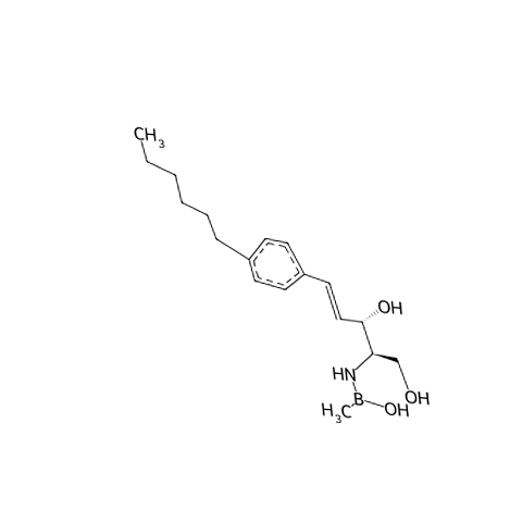 CCCCCCc1ccc(/C=C/[C@H](O)[C@@H](CO)NB(C)O)cc1